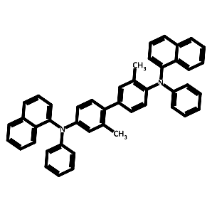 Cc1cc(N(c2ccccc2)c2cccc3ccccc23)ccc1-c1ccc(N(c2ccccc2)c2cccc3ccccc23)c(C)c1